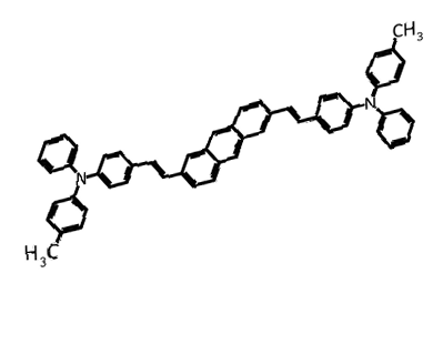 Cc1ccc(N(c2ccccc2)c2ccc(C=Cc3ccc4cc5cc(C=Cc6ccc(N(c7ccccc7)c7ccc(C)cc7)cc6)ccc5cc4c3)cc2)cc1